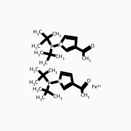 CC(=O)c1cc[c-](P(C(C)(C)C)C(C)(C)C)c1.CC(=O)c1cc[c-](P(C(C)(C)C)C(C)(C)C)c1.[Fe+2]